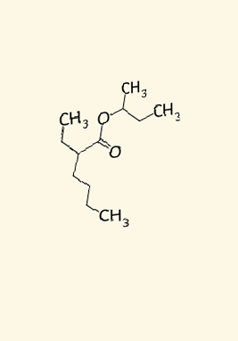 CCCCC(CC)C(=O)OC(C)CC